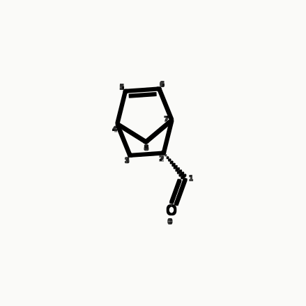 O=C[C@@H]1CC2C=CC1C2